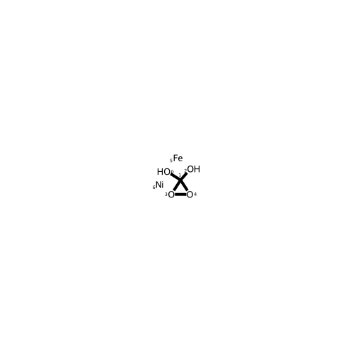 OC1(O)OO1.[Fe].[Ni]